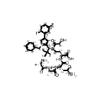 C[C@H](N)C(=O)N[C@@H](C)C(=O)N[C@@H](CC(N)=O)C(=O)N[C@@H](CCN(C(=O)CO)[C@@H](c1cc(-c2cc(F)ccc2F)cn1Cc1ccccc1)C(C)(C)C)C(=O)O